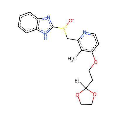 CCC1(CCOc2ccnc(C[S+]([O-])c3nc4ccccc4[nH]3)c2C)OCCO1